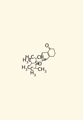 CC(C)[Si](Oc1ccc2c(c1)CCCC2=O)(C(C)C)C(C)C